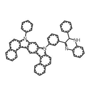 c1ccc(C2Nc3ccccc3N=C2c2cccc(-n3c4cc5c(cc4c4c6ccccc6ccc43)c3c4ccccc4ccc3n5-c3ccccc3)c2)cc1